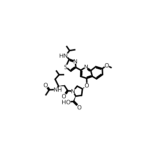 COc1ccc2c(O[C@@H]3C[C@@H](C(=O)O)N(C(=O)C[C@H](CC(C)C)NC(C)=O)C3)cc(-c3csc(NC(C)C)n3)nc2c1